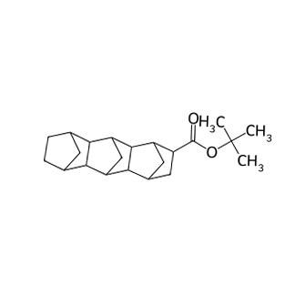 CC(C)(C)OC(=O)C1CC2CC1C1C3CC(C4C5CCC(C5)C34)C21